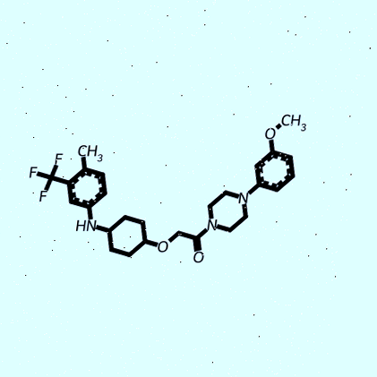 COc1cccc(N2CCN(C(=O)COC3CCC(Nc4ccc(C)c(C(F)(F)F)c4)CC3)CC2)c1